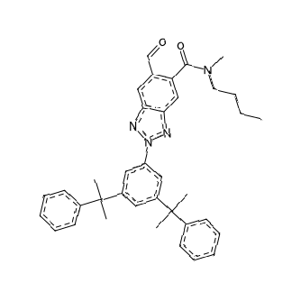 CCCCN(C)C(=O)c1cc2nn(-c3cc(C(C)(C)c4ccccc4)cc(C(C)(C)c4ccccc4)c3)nc2cc1C=O